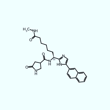 CNC(=O)CCCCC[C@H](NC(=O)C1CNC(=O)C1)c1ncc(-c2ccc3ccccc3c2)[nH]1